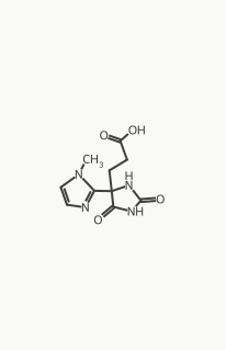 Cn1ccnc1C1(CCC(=O)O)NC(=O)NC1=O